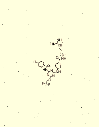 C[C@@H](CCCNC(=N)N)NC(=O)c1ccc(Nc2nc(NC3(c4ccc(Cl)cc4)CC3)nc(OCC(F)(F)F)n2)cc1